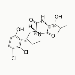 CC(C)[C@@H](O)[C@@H]1NC(=O)[C@H]2C[C@@H](c3c(O)ccc(Cl)c3Cl)CCN2C1=O